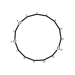 C1CCCOCOCCCCCOCC1